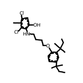 CCC(C)(C)c1ccc(OCCCCNc2c(O)cc(Cl)c(C)c2Cl)c(C(C)(C)CC)c1